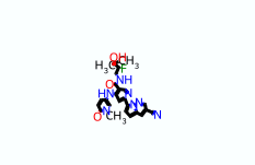 Cn1cc(Nc2cc(-c3ccc4cc(C#N)cnn34)ncc2C(=O)NC[C@@H](F)C(C)(C)O)ccc1=O